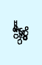 O=[C][C@@H]1C(=O)CCC(=O)N1N(CCc1c[nH]cn1)C(c1ccccc1)(c1ccccc1)c1ccccc1